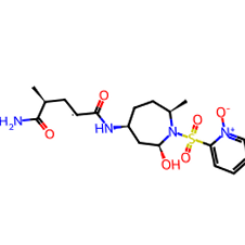 C[C@@H]1CC[C@H](NC(=O)[CH]C[C@H](C)C(N)=O)C[C@H](O)N1S(=O)(=O)c1cccc[n+]1[O-]